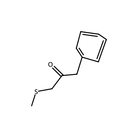 CSCC(=O)Cc1ccccc1